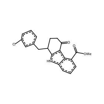 COC(=O)c1cccc2[nH]c3c(c12)C(=O)CCC3Cc1cccc(Cl)c1